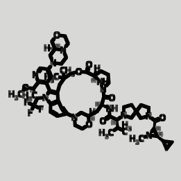 CO[C@@H](C)c1ncc(N2CCN3CCOC[C@@H]3C2)cc1-c1c2c3cc(ccc3n1CC(F)(F)F)N1CCO[C@@H](C[C@H](NC(=O)[C@H](C(C)C)N3CC[C@]4(CCN(C(=O)[C@H]5[C@@H](C6CC6)N5C)C4)C3)C(=O)N3CCC[C@H](N3)C(=O)OCC(C)(C)C2)C1